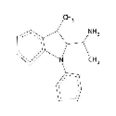 CC(N)C1C(C)c2ccccc2N1c1ccccc1